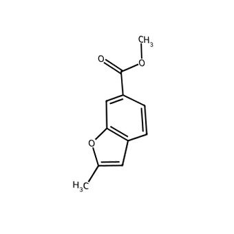 COC(=O)c1ccc2cc(C)oc2c1